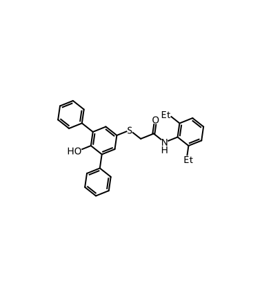 CCc1cccc(CC)c1NC(=O)CSc1cc(-c2ccccc2)c(O)c(-c2ccccc2)c1